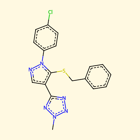 Cn1nnc(-c2cnn(-c3ccc(Cl)cc3)c2SCc2ccccc2)n1